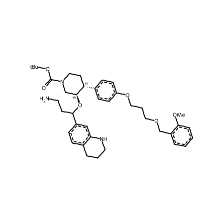 COc1ccccc1COCCCOc1ccc([C@H]2CCN(C(=O)OC(C)(C)C)C[C@@H]2OC(CCN)c2ccc3c(c2)NCCC3)cc1